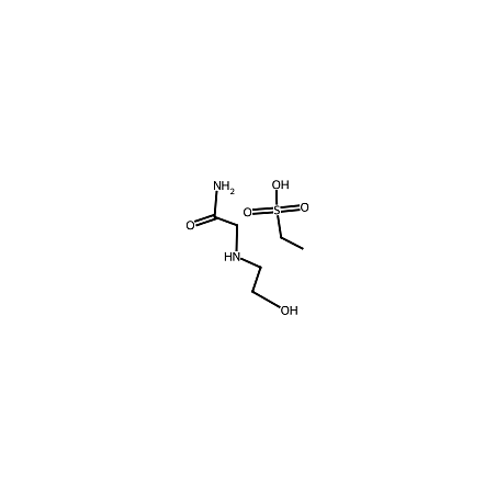 CCS(=O)(=O)O.NC(=O)CNCCO